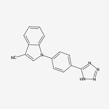 N#Cc1cn(-c2ccc(-c3nnn[nH]3)cc2)c2ccccc12